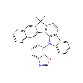 CC1(C)c2cc3ccccc3cc2-c2c1ccc1c3ccccc3n(-c3cccc4ncoc34)c21